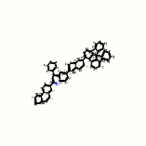 c1ccc(-c2cc(-c3ccc4c(ccc5ccccc54)c3)nc3ccc(-c4ccc5cc(-c6ccc7c(c6)C6(c8ccccc8-c8ccccc86)c6ccccc6-7)ccc5c4)cc23)cc1